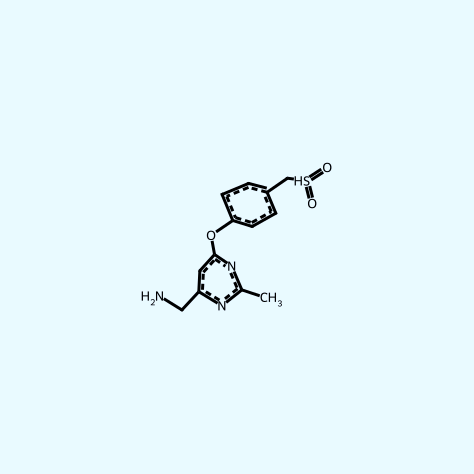 Cc1nc(CN)cc(Oc2ccc(C[SH](=O)=O)cc2)n1